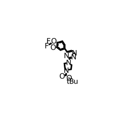 CC(C)(C)OC(=O)N1CCN(c2nncc(-c3ccc4c(c3)OC(F)(F)O4)n2)CC1